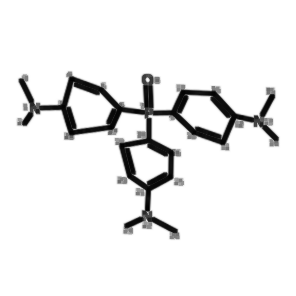 CN(C)c1ccc(P(=O)(c2ccc(N(C)C)cc2)c2ccc(N(C)C)cc2)cc1